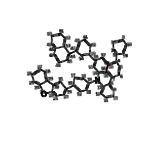 c1ccc(-c2ccc(-c3ccccc3N(c3ccc(-c4ccc5oc6ccccc6c5c4)cc3)c3cccc(-c4cccc(-c5cccc6ccccc56)c4)c3)cc2)cc1